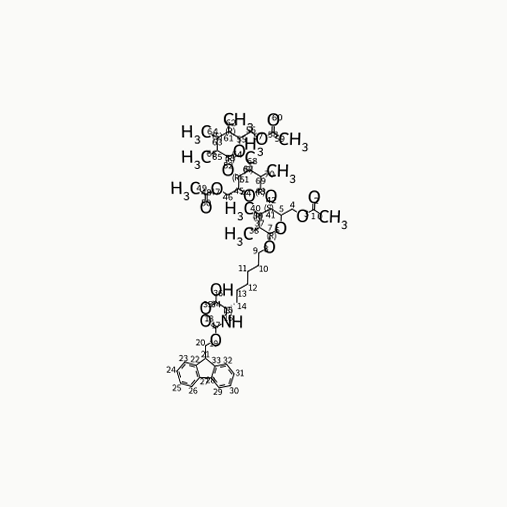 CC(=O)OCC1O[C@@H](OCCCCCC[C@H](NC(=O)OCC2c3ccccc3-c3ccccc32)C(=O)O)C(C)[C@@H](C)[C@@H]1O[C@@H]1OC(COC(C)=O)[C@H](O[C@H]2OC(COC(C)=O)[C@H](C)[C@H](C)C2C)[C@H](C)C1C